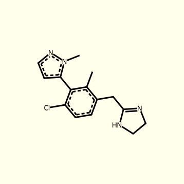 Cc1c(CC2=NCCN2)ccc(Cl)c1-c1ccnn1C